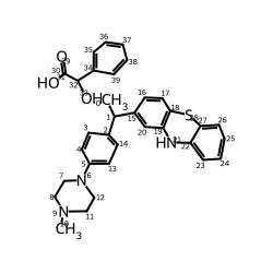 CC(c1ccc(N2CCN(C)CC2)cc1)c1ccc2c(c1)Nc1ccccc1S2.O=C(O)C(O)c1ccccc1